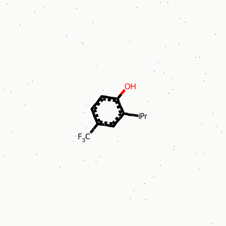 CC(C)c1cc(C(F)(F)F)ccc1O